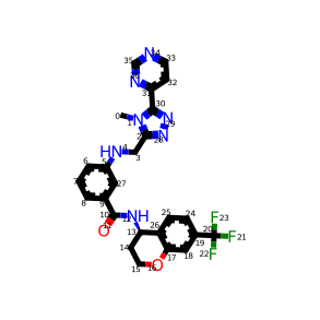 Cn1c(CNc2cccc(C(=O)N[C@@H]3CCOc4cc(C(F)(F)F)ccc43)c2)nnc1-c1ccncn1